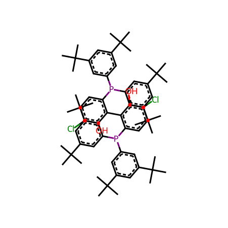 CC(C)(C)c1cc(P(c2cc(C(C)(C)C)cc(C(C)(C)C)c2)c2ccc(Cl)c(O)c2-c2c(P(c3cc(C(C)(C)C)cc(C(C)(C)C)c3)c3cc(C(C)(C)C)cc(C(C)(C)C)c3)ccc(Cl)c2O)cc(C(C)(C)C)c1